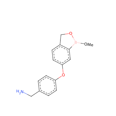 COB1OCc2ccc(Oc3ccc(CN)cc3)cc21